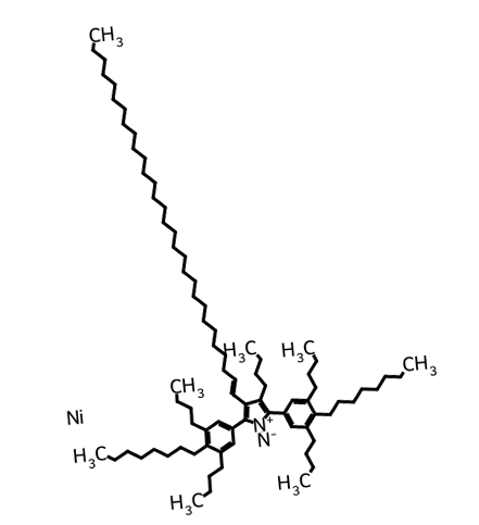 CCCCCCCCCCCCCCCCCCCCCCCCCCCCC=CC1=C(c2cc(CCCC)c(CCCCCCCC)c(CCCC)c2)[N+](=[N-])C(c2cc(CCCC)c(CCCCCCCC)c(CCCC)c2)=C1CCCC.[Ni]